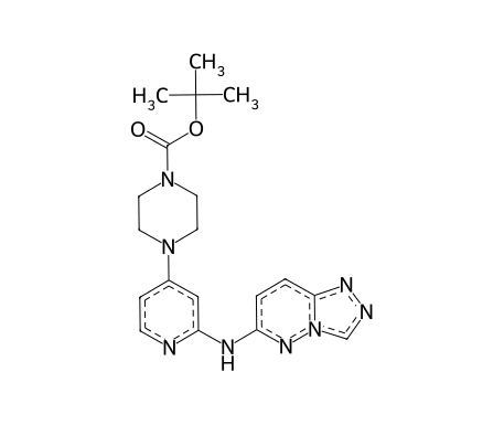 CC(C)(C)OC(=O)N1CCN(c2ccnc(Nc3ccc4nncn4n3)c2)CC1